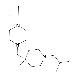 CC(C)CN1CCC(C)(CN2CCN(C(C)(C)C)CC2)CC1